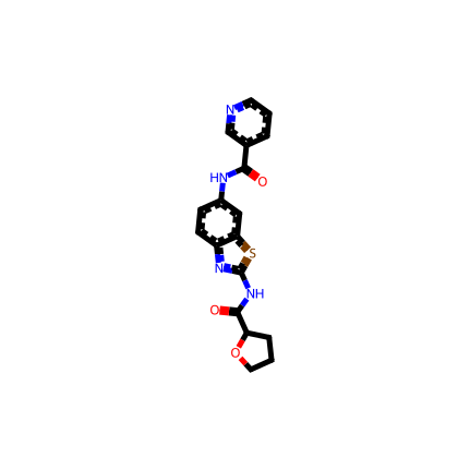 O=C(Nc1ccc2nc(NC(=O)C3CCCO3)sc2c1)c1cccnc1